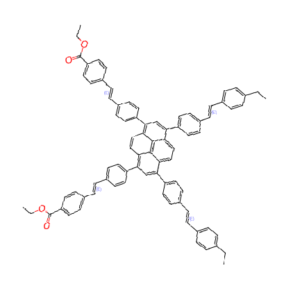 CCOC(=O)c1ccc(/C=C/c2ccc(-c3cc(-c4ccc(/C=C/c5ccc(CC)cc5)cc4)c4ccc5c(-c6ccc(/C=C/c7ccc(CC)cc7)cc6)cc(-c6ccc(/C=C/c7ccc(C(=O)OCC)cc7)cc6)c6ccc3c4c56)cc2)cc1